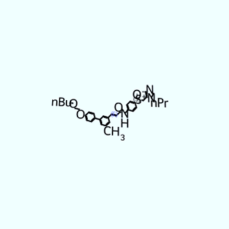 CCCCOCCOc1ccc(-c2cc(C)cc(/C=C/C(=O)Nc3ccc([S@+]([O-])Cc4cncn4CCC)cc3)c2)cc1